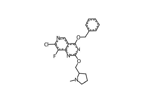 CN1CCCC1COc1nc(OCc2ccccc2)c2cnc(Cl)c(F)c2n1